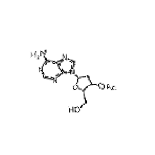 CC(=O)OC1C[C@H](n2cnc3c(N)ncnc32)O[C@@H]1CO